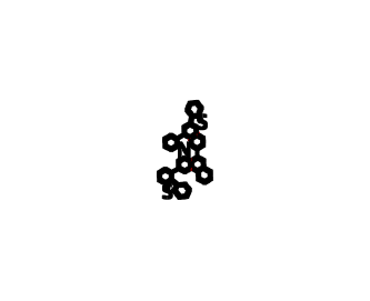 c1cc(-c2cccc3sc4ccccc4c23)cc(N(c2ccccc2-c2ccc3ccccc3c2)c2ccccc2-c2ccc3sc4ccccc4c3c2)c1